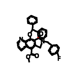 COC(=O)c1c2c(c(OC(c3ccccc3)c3ccccc3)c3ncccc13)C(=O)N(Cc1ccc(F)cc1)C2